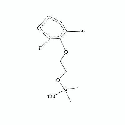 CC(C)(C)[Si](C)(C)OCCOc1c(F)cccc1Br